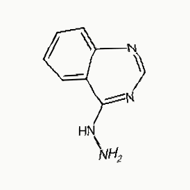 NNc1ncnc2ccccc12